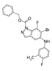 Cc1cc(Nc2cc3cnn(C(=O)OCc4ccccc4)c3c(F)c2Br)ccc1F